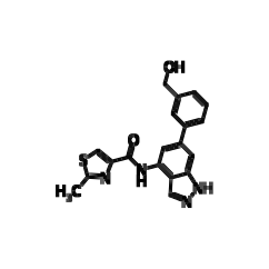 Cc1nc(C(=O)Nc2cc(-c3cccc(CO)c3)cc3[nH]ncc23)cs1